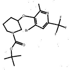 Cc1nc(C(F)(F)F)cc(Br)c1OC1CCCN(C(=O)OC(C)(C)C)C1